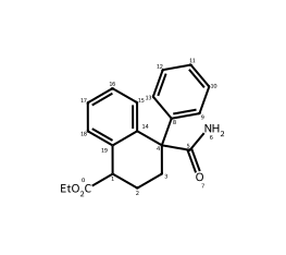 CCOC(=O)C1CCC(C(N)=O)(c2ccccc2)c2ccccc21